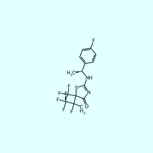 C[C@H](NC1=NC(=O)C(C(F)(F)F)(C(C)(F)C(F)(F)F)S1)c1ccc(F)cc1